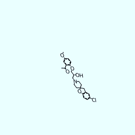 COc1ccc(OC[C@@H](O)CN2CCC3(CC2)Cc2cc(Cl)ccc2O3)c(C(C)=O)c1